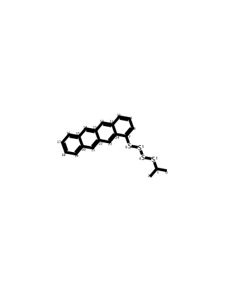 CC(C)SSSSc1cccc2cc3cc4ccccc4cc3cc12